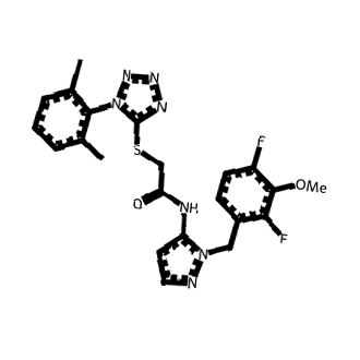 COc1c(F)ccc(Cn2nccc2NC(=O)CSc2nnnn2-c2c(C)cccc2C)c1F